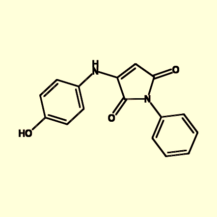 O=C1C=C(Nc2ccc(O)cc2)C(=O)N1c1ccccc1